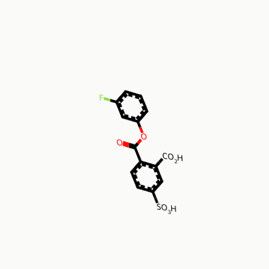 O=C(O)c1cc(S(=O)(=O)O)ccc1C(=O)Oc1cccc(F)c1